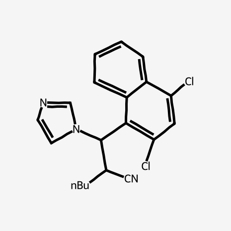 CCCCC(C#N)C(c1c(Cl)cc(Cl)c2ccccc12)n1ccnc1